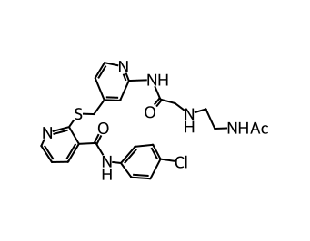 CC(=O)NCCNCC(=O)Nc1cc(CSc2ncccc2C(=O)Nc2ccc(Cl)cc2)ccn1